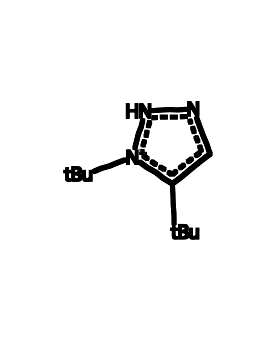 CC(C)(C)c1cn[nH][n+]1C(C)(C)C